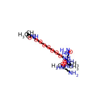 CC(=O)N[C@@H](CCCCN)C(=O)N[C@H](C(=O)N[C@@H](CCCNC(N)=O)C(=O)NCCOCCOCCOCCOCCOCCOCCOCCNC(=O)CC(C)(C)C)C(C)C